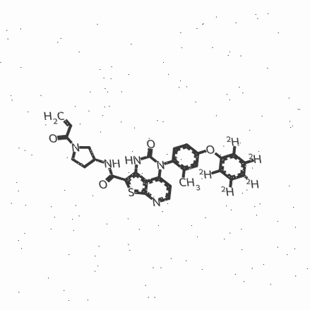 [2H]c1c([2H])c([2H])c(Oc2ccc(N3C(=O)Nc4c(C(=O)NC5CCN(C(=O)C=C)C5)sc5nccc3c45)c(C)c2)c([2H])c1[2H]